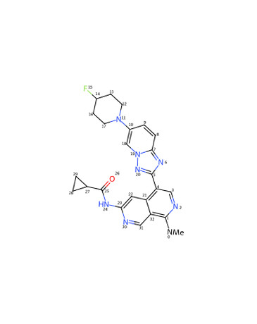 CNc1ncc(-c2nc3ccc(N4CCC(F)CC4)cn3n2)c2cc(NC(=O)C3CC3)ncc12